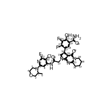 CC1COCCN1c1cc(NC(=O)Cn2cc(-c3cc(C(N)=O)c(O)c(F)c3F)c3c(=O)n4c(nc32)CCCC4)c(Cl)c(F)n1